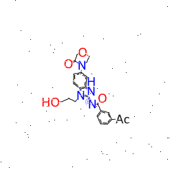 CC(=O)c1cccc(C(=O)/N=c2\[nH]c3cc(N4CCOCC4=O)ccc3n2CCCO)c1